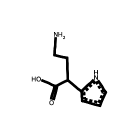 NCCC(C(=O)O)c1ccc[nH]1